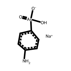 Nc1ccc([As](=O)([O-])O)cc1.[Na+]